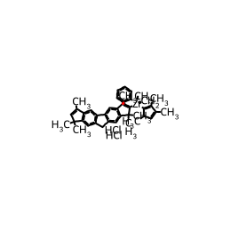 Cl.Cl.[CH2]=[Zr]([CH3])([C]1=C(C)C(C)=CC1C)([C]1=C(C)c2cc3c(cc2C1(C)C)Cc1cc2c(cc1-3)C(C)=CC2(C)C)[c]1ccccc1